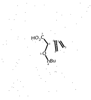 C=C.C=C.CCCCOCC(=O)O